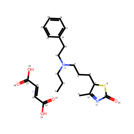 CCCN(CCCC1SC(=O)N=C1C)CCc1ccccc1.O=C(O)/C=C/C(=O)O